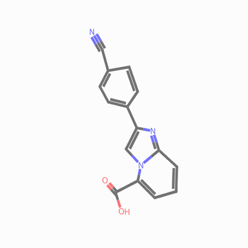 N#Cc1ccc(-c2cn3c(C(=O)O)cccc3n2)cc1